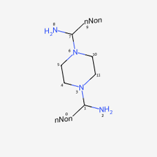 CCCCCCCCCC(N)N1CCN(C(N)CCCCCCCCC)CC1